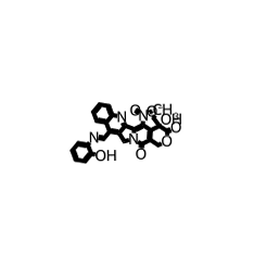 CC[C@@]1(O)C(=O)OCc2c1c([N+](=O)[O-])c1n(c2=O)Cc2c-1nc1ccccc1c2/C=N/c1ccccc1O